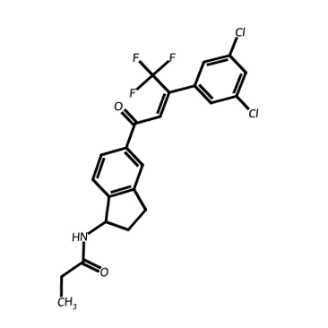 CCC(=O)NC1CCc2cc(C(=O)C=C(c3cc(Cl)cc(Cl)c3)C(F)(F)F)ccc21